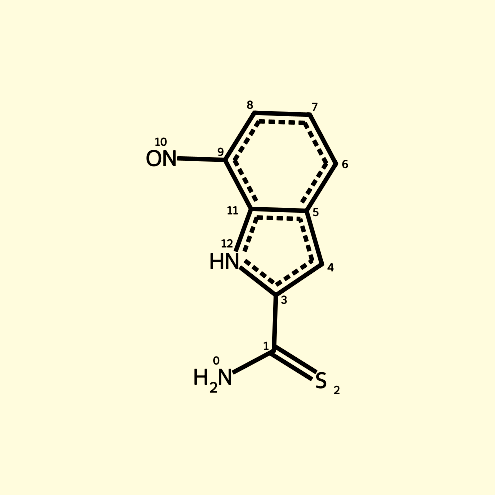 NC(=S)c1cc2cccc(N=O)c2[nH]1